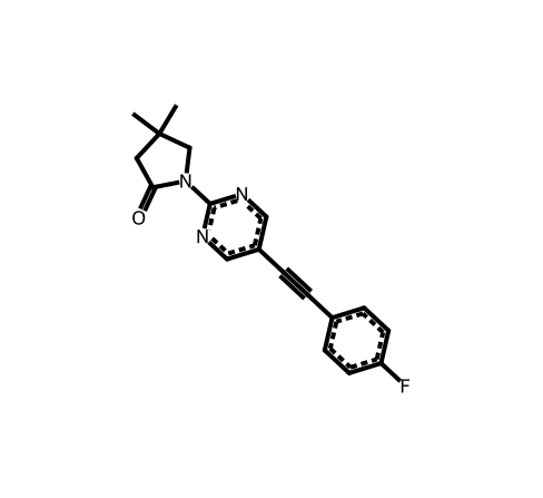 CC1(C)CC(=O)N(c2ncc(C#Cc3ccc(F)cc3)cn2)C1